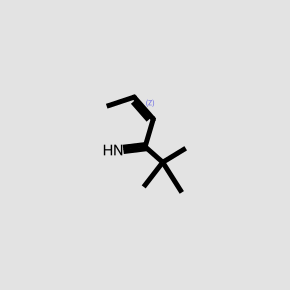 C/C=C\C(=N)C(C)(C)C